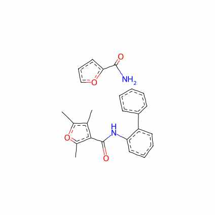 Cc1oc(C)c(C(=O)Nc2ccccc2-c2ccccc2)c1C.NC(=O)c1ccco1